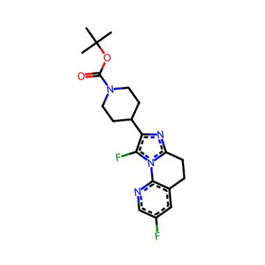 CC(C)(C)OC(=O)N1CCC(c2nc3n(c2F)-c2ncc(F)cc2CC3)CC1